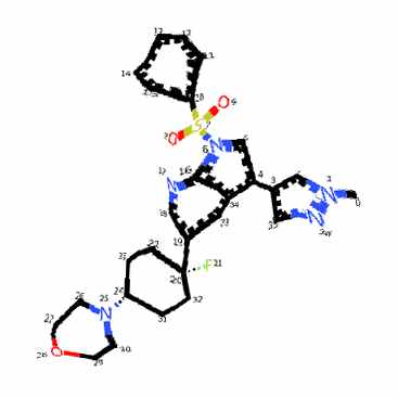 Cn1cc(-c2cn(S(=O)(=O)c3ccccc3)c3ncc([C@]4(F)CC[C@@H](N5CCOCC5)CC4)cc23)cn1